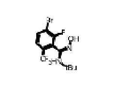 CC(C)(C)N/C(=N/O)c1c(C(F)(F)F)ccc(Br)c1F